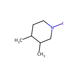 CC1CCN(I)CC1C